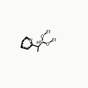 CCO[SiH](OCC)C(C)c1ccccn1